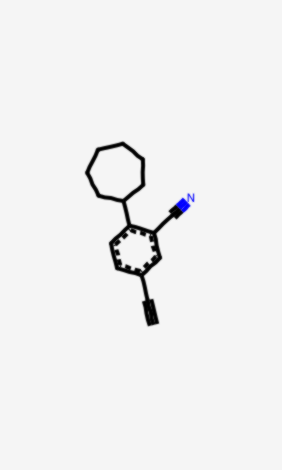 C#Cc1ccc(C2CCCCCC2)c(C#N)c1